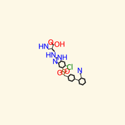 N#Cc1ccccc1-c1ccc(CS(=O)(=O)c2cc3nc(N/C=C(\C=N)C(=O)O)[nH]c3cc2Cl)cc1